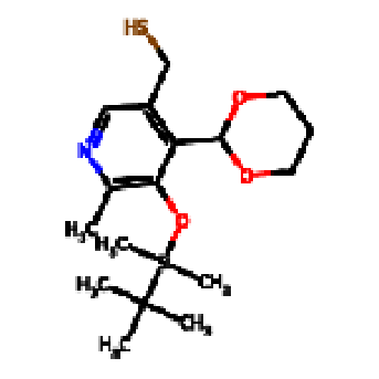 Cc1ncc(CS)c(C2OCCCO2)c1O[Si](C)(C)C(C)(C)C